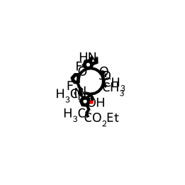 CCOC(=O)C(C)Cc1cccc(C2(CO)CCCC(C)(C)CS(=O)(=O)CCc3c(c(F)cc4[nH]ccc34)Oc3ccc(F)c(c3)-c3nc2nn3C)c1